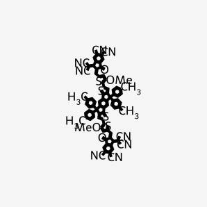 COc1cc(/C=C2\C(=O)c3cc(C#N)c(C#N)cc3C2=C(C#N)C#N)sc1-c1cc2c(s1)-c1cc3c(cc1C2(c1ccc(C)cc1)c1ccc(C)cc1)-c1sc(-c2sc(/C=C4\C(=O)c5cc(C#N)c(C#N)cc5C4=C(C#N)C#N)cc2OC)cc1C3(c1ccc(C)cc1)c1ccc(C)cc1